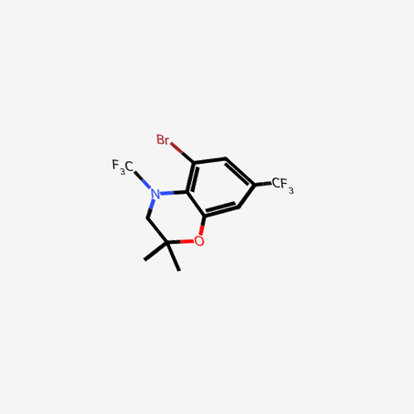 CC1(C)CN(C(F)(F)F)c2c(Br)cc(C(F)(F)F)cc2O1